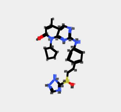 Cc1cc(=O)n(C2CCCC2)c2nc(Nc3ccc(CC[S+]([O-])c4ncn[nH]4)cc3)ncc12